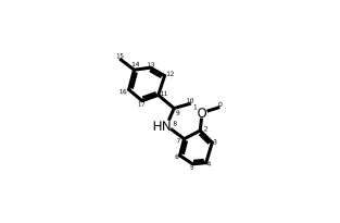 COc1ccccc1NC(C)c1ccc(C)cc1